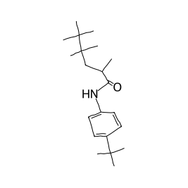 CC(CC(C)(C)C(C)(C)C)C(=O)Nc1ccc(C(C)(C)C)cc1